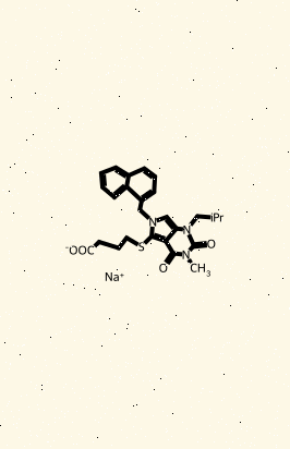 CC(C)Cn1c(=O)n(C)c(=O)c2c(SCCCC(=O)[O-])n(Cc3cccc4ccccc34)cc21.[Na+]